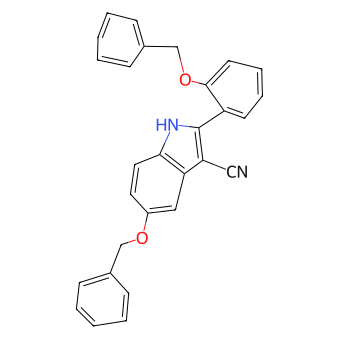 N#Cc1c(-c2ccccc2OCc2ccccc2)[nH]c2ccc(OCc3ccccc3)cc12